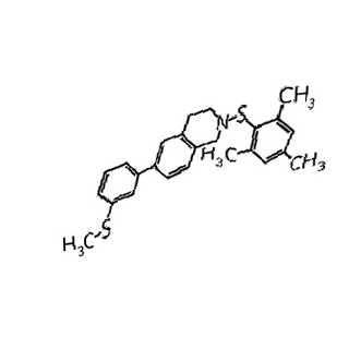 CSc1cccc(-c2ccc3c(c2)CCN(Sc2c(C)cc(C)cc2C)C3)c1